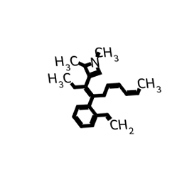 C=Cc1ccccc1/C(C/C=C\C=C/C)=C(\CC)C1=CN(C)C1C